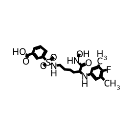 Cc1cc(NC(CCCCNS(=O)(=O)c2cccc(C(=O)O)c2)C(=O)NO)cc(C)c1F